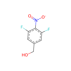 O=[N+]([O-])c1c(F)cc(CO)cc1F